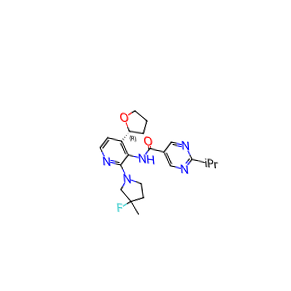 CC(C)c1ncc(C(=O)Nc2c([C@H]3CCCO3)ccnc2N2CCC(C)(F)C2)cn1